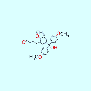 COc1ccc(C(O)(c2ccc(OC)cc2)c2ccc(OC)c(CCCC=O)c2)cc1